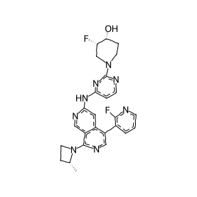 C[C@@H]1CCN1c1ncc(-c2cccnc2F)c2cc(Nc3ccnc(N4CC[C@@H](O)[C@@H](F)C4)n3)ncc12